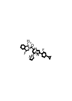 CC1c2ccccc2C(F)CN1C(=O)c1cc(-n2cccn2)n2nc(-c3ccc(C4CC4)cc3F)cc2n1